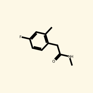 CNC(=O)Cc1ccc(F)cc1C